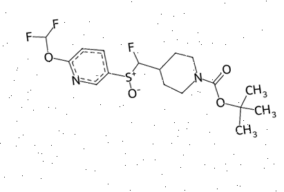 CC(C)(C)OC(=O)N1CCC(C(F)[S+]([O-])c2ccc(OC(F)F)nc2)CC1